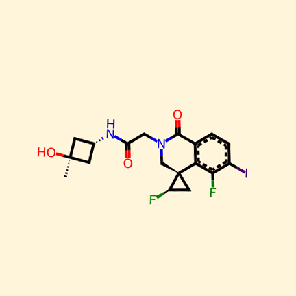 C[C@]1(O)C[C@H](NC(=O)CN2C[C@]3(C[C@H]3F)c3c(ccc(I)c3F)C2=O)C1